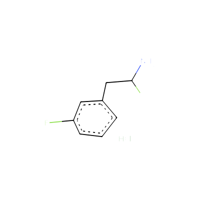 Cl.NC(F)Cc1cccc(F)c1